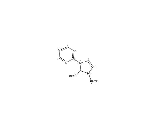 CCCCCCCCN1C=CN(c2ccccc2)C1CCC